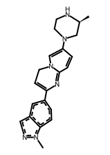 C[C@H]1CN(C2=CN3CC=C(c4ccc5c(cnn5C)c4)N=C3C=C2)CCN1